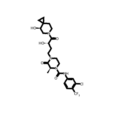 C[C@H]1C(=O)N(CC[C@H](O)C(=O)N2CCC3(CC3)[C@H](O)C2)CCN1C(=O)Nc1ccc(C(F)(F)F)c(Cl)c1